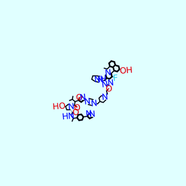 CCc1cccc2cc(O)cc(-c3ncc4c(N5CC6CCC(C5)N6)nc(OCCN5CCC(CN6CCN(c7cc(C(C(=O)N8C[C@H](O)C[C@H]8C(=O)NC(C)c8ccc(-c9ccnn9C)cc8)C(C)C)on7)CC6)CC5)nc4c3F)c12